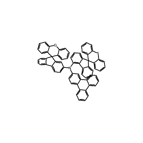 c1ccc2c(c1)Oc1ccccc1C21c2ccccc2-c2ccc(N(c3ccc4c5ccccc5c5ccccc5c4c3)c3cccc4c3-c3ccccc3C43c4ccccc4Sc4ccccc43)cc21